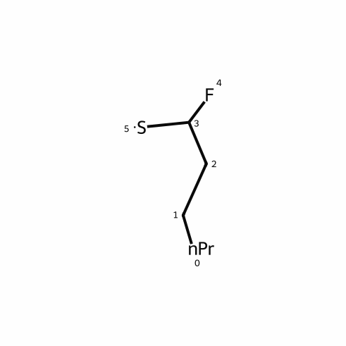 CCCCCC(F)[S]